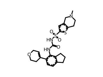 CN1CCc2sc(S(=O)(=O)NC(=O)Nc3c(C4=CCOCC4)ccc4c3CCC4)cc2C1